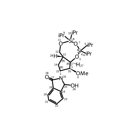 CO[C@@H]1[C@@H]2O[Si](C(C)C)(C(C)C)O[Si](C(C)C)(C(C)C)OC[C@H]2C[C@H]1N1C(=O)c2ccccc2C1O